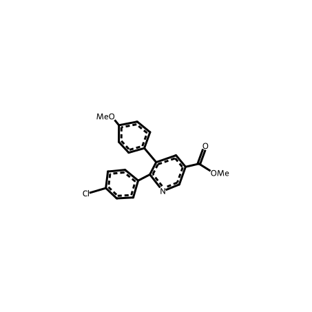 COC(=O)c1cnc(-c2ccc(Cl)cc2)c(-c2ccc(OC)cc2)c1